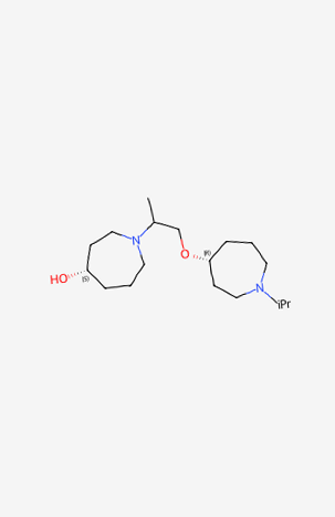 CC(C)N1CCC[C@@H](OCC(C)N2CCC[C@H](O)CC2)CC1